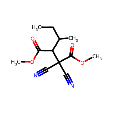 CCC(C)C(C(=O)OC)C(C#N)(C#N)C(=O)OC